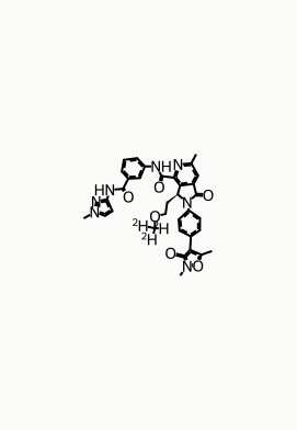 [2H]C([2H])([2H])OCC[C@H]1c2c(cc(C)nc2C(=O)Nc2cccc(C(=O)Nc3ccn(C)n3)c2)C(=O)N1c1ccc(-c2c(C)on(C)c2=O)cc1